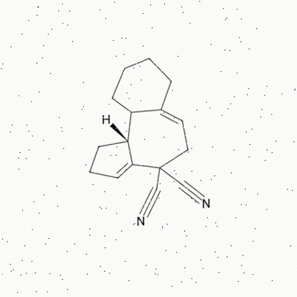 N#CC1(C#N)CC=C2CCCCC2[C@H]2CCC=C21